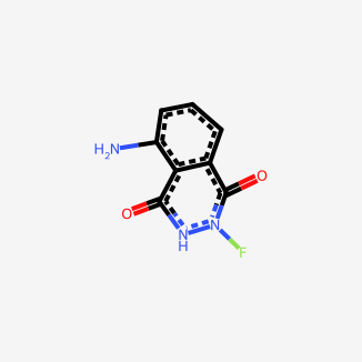 Nc1cccc2c(=O)n(F)[nH]c(=O)c12